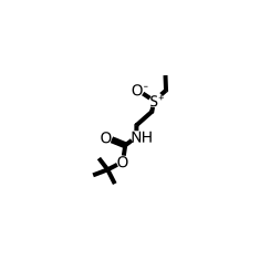 CC[S+]([O-])CCNC(=O)OC(C)(C)C